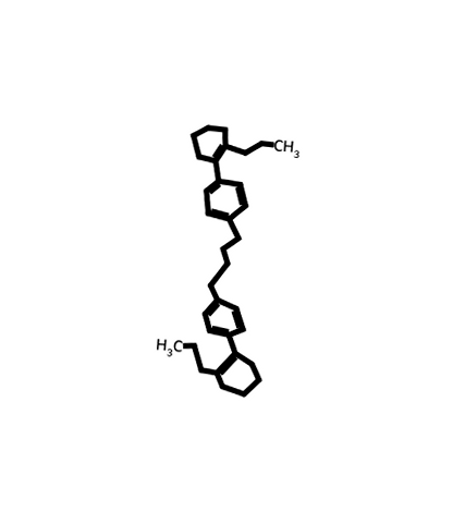 CCCC1=C(c2ccc(CCCCc3ccc(C4=C(CCC)CCCC4)cc3)cc2)CCCC1